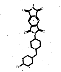 CC(C)C1CCC(CC2CCC(n3c(=O)c4cc5c(=O)[nH]c(=O)c5cc4c3=O)CC2)CC1